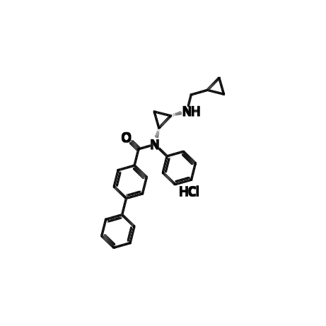 Cl.O=C(c1ccc(-c2ccccc2)cc1)N(c1ccccc1)[C@@H]1C[C@@H]1NCC1CC1